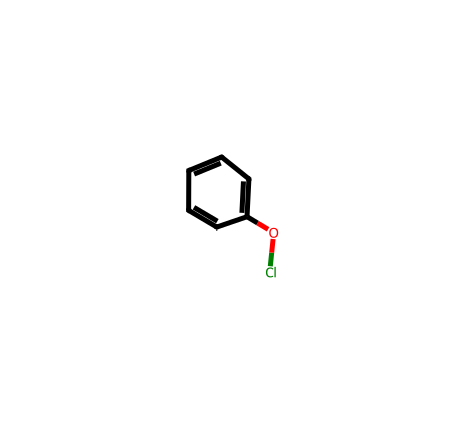 ClOc1[c]cccc1